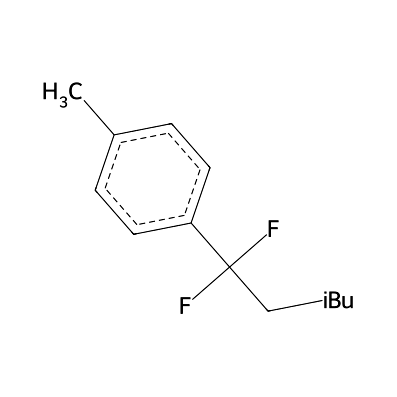 CCC(C)CC(F)(F)c1ccc(C)cc1